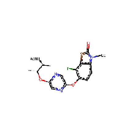 CCn1c(=O)sc2c(F)c(Oc3cnc(O[C@H](C)[C@H](C)NC(C)=O)cn3)ccc21